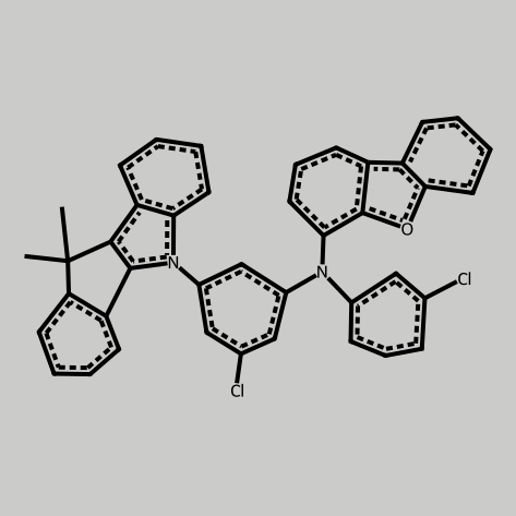 CC1(C)c2ccccc2-c2c1c1ccccc1n2-c1cc(Cl)cc(N(c2cccc(Cl)c2)c2cccc3c2oc2ccccc23)c1